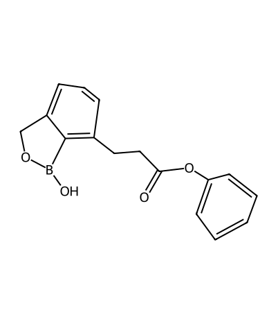 O=C(CCc1cccc2c1B(O)OC2)Oc1ccccc1